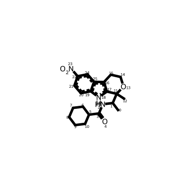 CC(NC(=O)C1CCCCC1)C1(C)OCCc2c1[nH]c1ccc([N+](=O)[O-])cc21